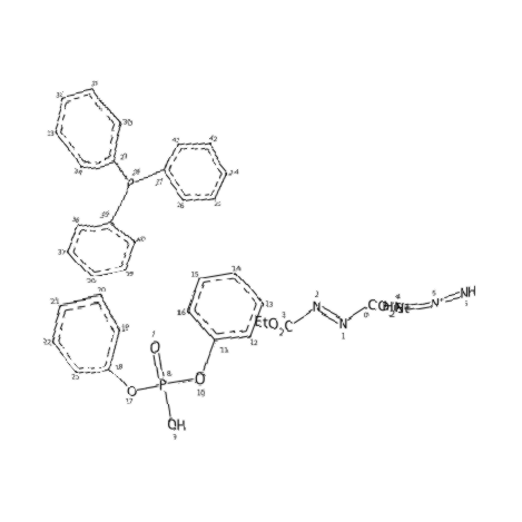 CCOC(=O)N=NC(=O)OCC.N=[N+]=N.O=P(O)(Oc1ccccc1)Oc1ccccc1.c1ccc(P(c2ccccc2)c2ccccc2)cc1